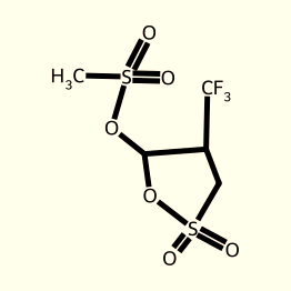 CS(=O)(=O)OC1OS(=O)(=O)CC1C(F)(F)F